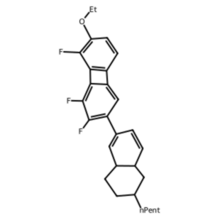 CCCCCC1CCC2C=C(c3cc4c(c(F)c3F)-c3c-4ccc(OCC)c3F)C=CC2C1